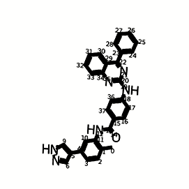 Cc1ccc(-c2cn[nH]c2)cc1NC(=O)c1ccc(Nc2nc(-c3ccccc3)c3ccccc3n2)cc1